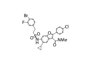 CNC(=O)c1c(-c2ccc(Cl)cc2)oc2cc(NS(=O)(=O)CCc3ccc(Br)c(F)c3)c(C3CC3)cc12